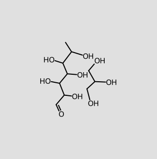 CC(O)C(O)C(O)C(O)C(O)C=O.OCC(O)CO